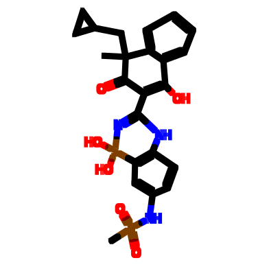 CC1(CC2CC2)C(=O)C(C2=NS(O)(O)c3cc(NS(C)(=O)=O)ccc3N2)=C(O)c2ccccc21